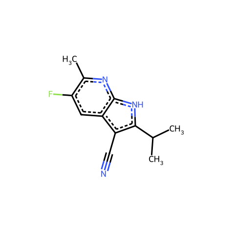 Cc1nc2[nH]c(C(C)C)c(C#N)c2cc1F